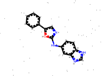 c1ccc(-c2cnc(Nc3ccc4[nH]cnc4c3)o2)cc1